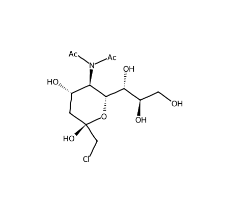 CC(=O)N(C(C)=O)[C@H]1[C@H]([C@H](O)[C@H](O)CO)O[C@](O)(CCl)C[C@@H]1O